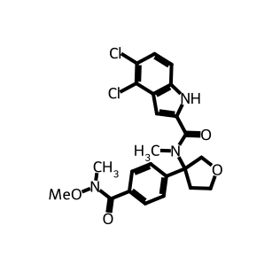 CON(C)C(=O)c1ccc(C2(N(C)C(=O)c3cc4c(Cl)c(Cl)ccc4[nH]3)CCOC2)cc1